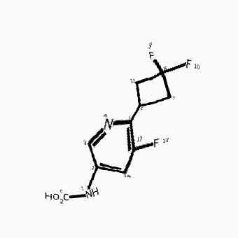 O=C(O)Nc1cnc(C2CC(F)(F)C2)c(F)c1